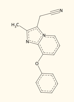 Cc1nc2c(Oc3ccccc3)cccn2c1CC#N